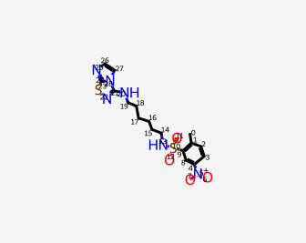 Cc1ccc([N+](=O)[O-])cc1S(=O)(=O)NCCCCCCNc1nsc2nccn12